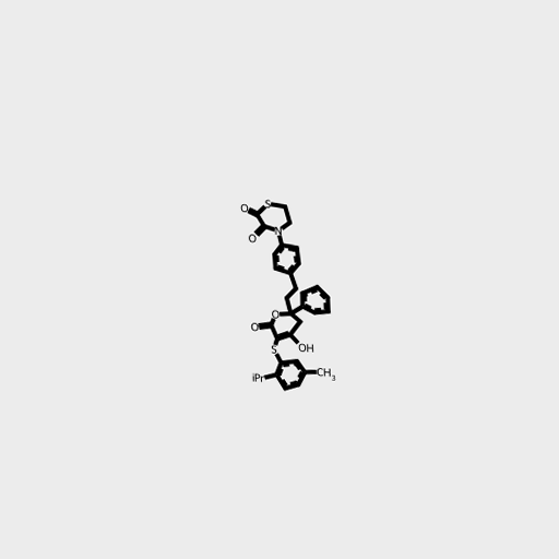 Cc1ccc(C(C)C)c(SC2=C(O)CC(CCc3ccc(N4CCSC(=O)C4=O)cc3)(c3ccccc3)OC2=O)c1